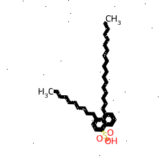 CCCCCCCCCCCCCCCCCCc1cccc2c(S(=O)(=O)O)ccc(CCCCCCCCCC)c12